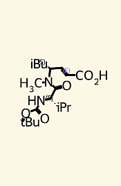 CC[C@H](C)C(/C=C/C(=O)O)N(C)C(=O)[C@@H](NC(=O)OC(C)(C)C)C(C)C